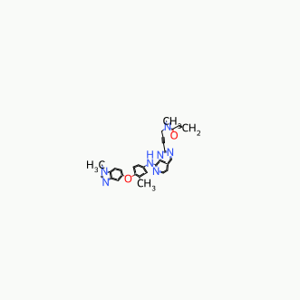 C=CC(=O)N(C)CC#Cc1ncc2ccnc(Nc3ccc(Oc4ccc5c(c4)ncn5C)c(C)c3)c2n1